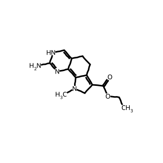 CCOC(=O)C1=C2CCC3=CNC(N)=NC3=C2N(C)C1